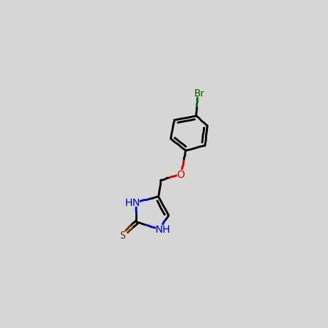 S=c1[nH]cc(COc2ccc(Br)cc2)[nH]1